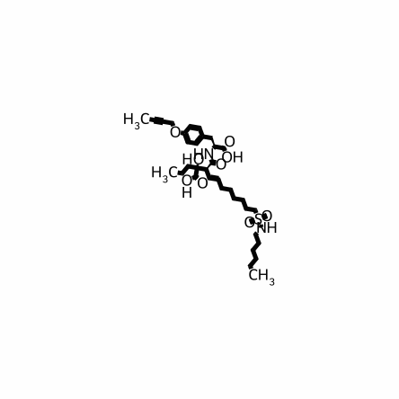 CC#CCOc1ccc(C[C@H](NC(=O)[C@@H](/C=C/CCCCCCS(=O)(=O)NCCCCCC)[C@@](O)(CCC)C(=O)O)C(=O)O)cc1